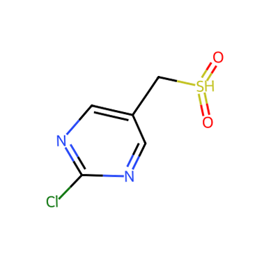 O=[SH](=O)Cc1cnc(Cl)nc1